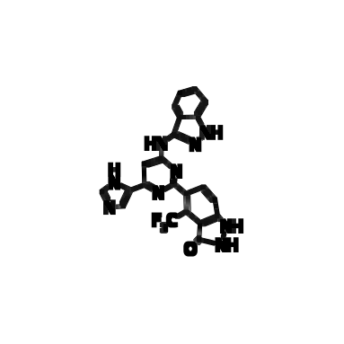 O=c1[nH][nH]c2ccc(-c3nc(Nc4n[nH]c5ccccc45)cc(-c4cnc[nH]4)n3)c(C(F)(F)F)c12